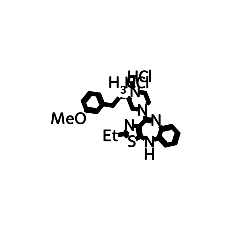 CCc1nc2c(s1)Nc1ccccc1N=C2N1CCN(C)[C@@H](CCc2cccc(OC)c2)C1.Cl.Cl